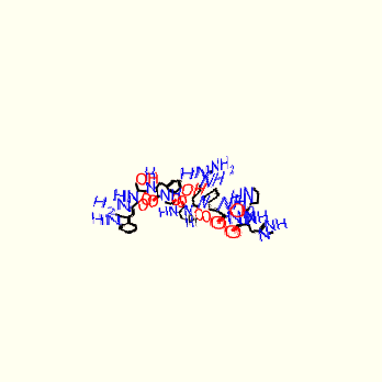 CC(C)CC(NC(=O)CNC(=O)C(Cc1ccc(O)cc1)NC(=O)C(CO)NC(=O)C(N)Cc1c[nH]c2ccccc12)C(=O)NC(CCCNC(=N)N)C(=O)N1CCC[C@H]1C(=O)C(N)C(=O)NC(=O)C(Cc1c[nH]cn1)NC(=O)[C@@H]1CCCN1